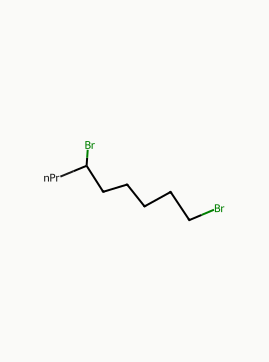 CCCC(Br)CCCCCBr